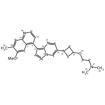 COc1cc2c(-c3cnn4cc(N5CC(OCCN(C)C)C5)cnc34)ccnc2cc1C